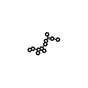 c1ccc(-c2ccc(N(c3ccccc3)c3ccc4cc(-c5cc6cc(-c7ccc8ccccc8c7)c7ccccc7c6c6ccccc56)ccc4c3)cc2)cc1